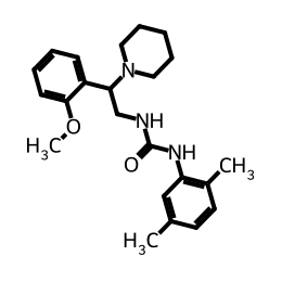 COc1ccccc1C(CNC(=O)Nc1cc(C)ccc1C)N1CCCCC1